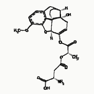 COc1ccc2c3c1O[C@@H]1C(OC(=O)[C@H](C)OC(=O)C[C@H](N)C(=O)O)=CC[C@]4(O)[C@@H](CCC[C@@]314)C2